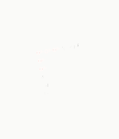 [Al+3].[Al+3].[O-2].[O-2].[O-2].[O-2].[O-2].[Pd+2].[Pd+2].[Pt].[Pt]